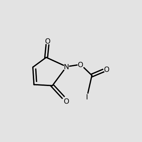 O=C(I)ON1C(=O)C=CC1=O